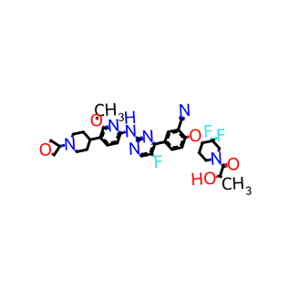 COc1nc(Nc2ncc(F)c(-c3ccc(OC4CCN(C(=O)C(C)O)CC4(F)F)c(C#N)c3)n2)ccc1C1CCN(C2COC2)CC1